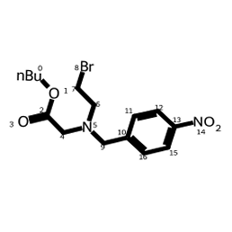 CCCCOC(=O)CN(CCBr)Cc1ccc([N+](=O)[O-])cc1